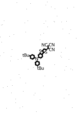 CC(C)(C)c1ccc(N(c2ccc(C(C)(C)C)cc2)c2ccc3c(c2)sc2cc(C(C#N)=C(C#N)C#N)sc23)cc1